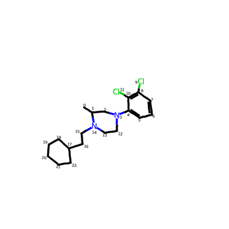 CC1CN(c2cccc(Cl)c2Cl)CCN1CCC1CCCCC1